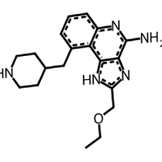 CCOCc1nc2c(N)nc3cccc(CC4CCNCC4)c3c2[nH]1